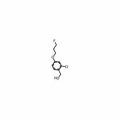 OCc1ccc(OCCCF)cc1Cl